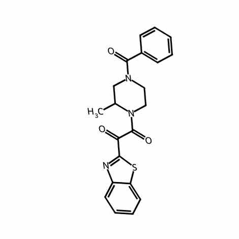 CC1CN(C(=O)c2ccccc2)CCN1C(=O)C(=O)c1nc2ccccc2s1